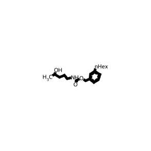 CCCCCCc1cccc(COC(=O)NCCCC(C)O)c1